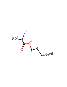 CCCCCCCCOC(=O)C(I)CC